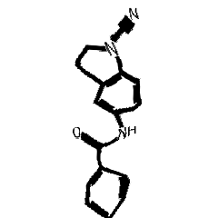 N#CN1CCc2cc(NC(=O)c3ccccc3)ccc21